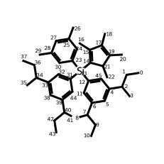 CCC(C)c1cc(C(C)CC)cc([Si](C2=C(C)C(C)=C(C)C2C)(c2cc(C)cc(C)c2)c2cc(C(C)CC)cc(C(C)CC)c2)c1